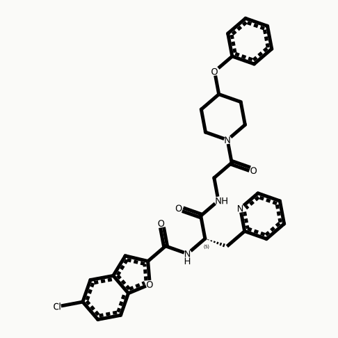 O=C(N[C@@H](Cc1ccccn1)C(=O)NCC(=O)N1CCC(Oc2ccccc2)CC1)c1cc2cc(Cl)ccc2o1